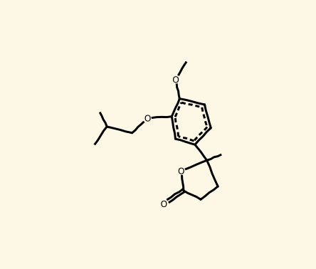 COc1ccc(C2(C)CCC(=O)O2)cc1OCC(C)C